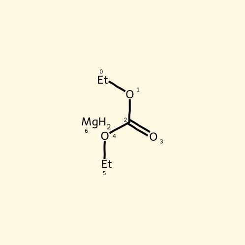 CCOC(=O)OCC.[MgH2]